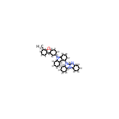 Cc1cccc2c1oc1ccc(-n3c4ccccc4c4c(-n5c6ccccc6n6c7ccccc7nc56)cccc43)cc12